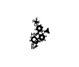 FC(F)(F)Oc1ccc(OC2CC2)c(CN[C@@H]2CC[C@@H]3N[C@@]2(c2ccccc2)C[C@H]3CBr)c1